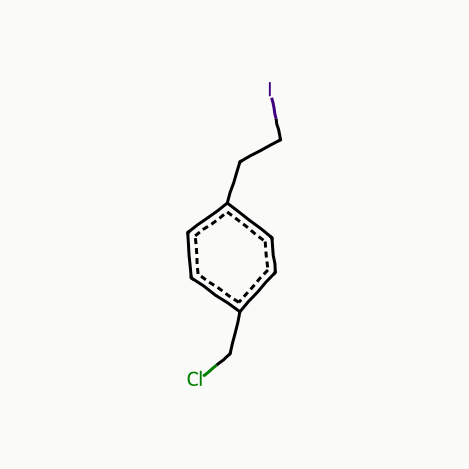 ClCc1ccc(CCI)cc1